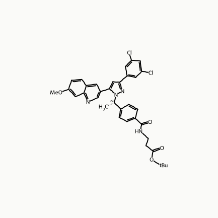 COc1ccc2cc(-c3cc(-c4cc(Cl)cc(Cl)c4)nn3[C@@H](C)c3ccc(C(=O)NCCC(=O)OC(C)(C)C)cc3)cnc2c1